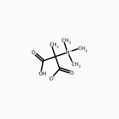 CC(C(=O)[O-])(C(=O)O)[N+](C)(C)C